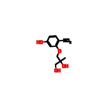 CC(O)(CO)COc1cc(O)ccc1[N+](=O)[O-]